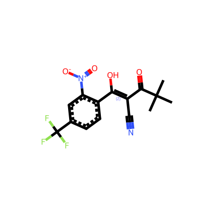 CC(C)(C)C(=O)/C(C#N)=C(\O)c1ccc(C(F)(F)F)cc1[N+](=O)[O-]